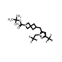 CC(C)(C)OC(=O)N1CC2(CC(Cc3cc(C(F)(F)F)nn3CC(F)(F)F)C2)C1